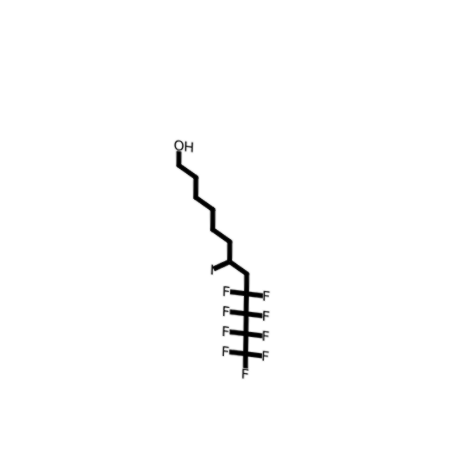 OCCCCCCC(I)CC(F)(F)C(F)(F)C(F)(F)C(F)(F)F